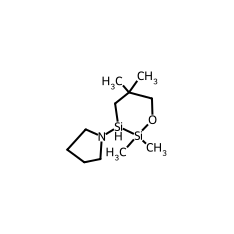 CC1(C)CO[Si](C)(C)[SiH](N2CCCC2)C1